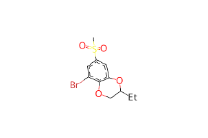 CCC1COc2c(Br)cc(S(C)(=O)=O)cc2O1